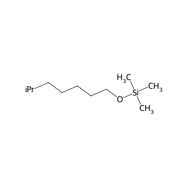 CC(C)CCCCCO[Si](C)(C)C